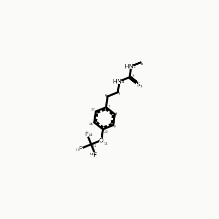 CNC(=S)NCCc1ccc(OC(F)(F)F)cc1